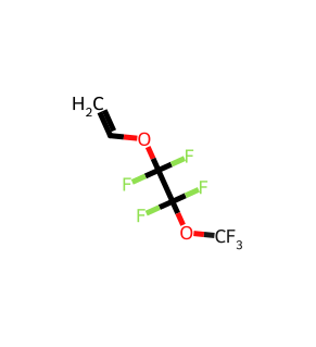 C=COC(F)(F)C(F)(F)OC(F)(F)F